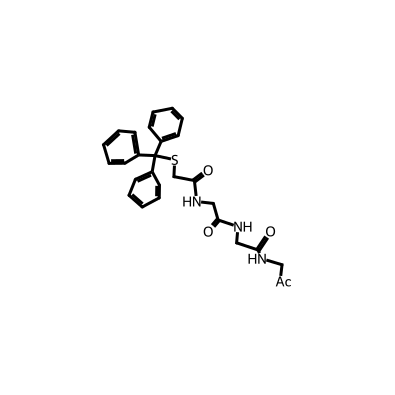 CC(=O)CNC(=O)CNC(=O)CNC(=O)CSC(c1ccccc1)(c1ccccc1)c1ccccc1